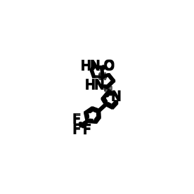 O=C1NCC[C@]12CC[C@H](c1cc(-c3ccc(C(F)(F)F)cc3)ccn1)N2